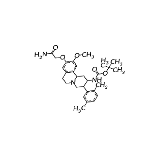 COc1cc2c(cc1OCC(N)=O)CCN1CC(c3cc(C)ccc3C)C(NC(=O)OC(C)(C)C)CC21